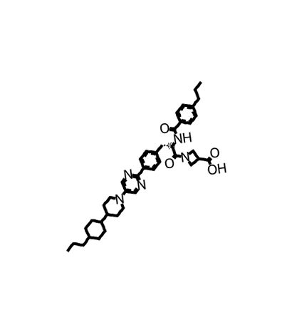 CCCc1ccc(C(=O)N[C@@H](Cc2ccc(-c3ncc(N4CCC(C5CCC(CCC)CC5)CC4)cn3)cc2)C(=O)N2CC(C(=O)O)C2)cc1